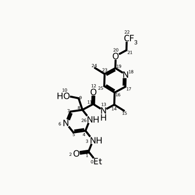 CCC(=O)NC1=CN=CC(CO)(C(=O)NC(C)c2cnc(OCC(F)(F)F)c(C)c2)N1